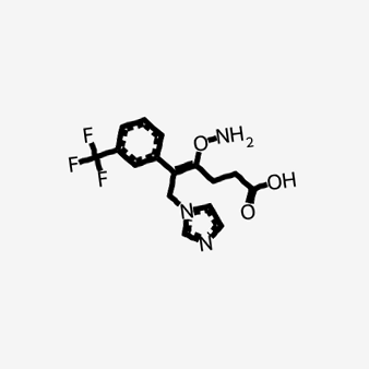 NOC(CCC(=O)O)=C(Cn1ccnc1)c1cccc(C(F)(F)F)c1